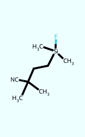 CC(C)(C#N)CC[Si](C)(C)F